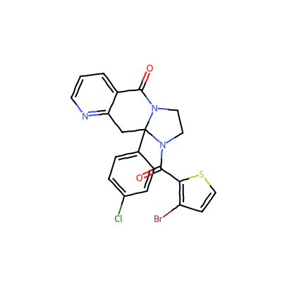 O=C1c2cccnc2CC2(c3ccc(Cl)cc3)N1CCN2C(=O)c1sccc1Br